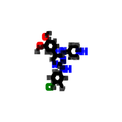 COc1ccc(-c2cnc(Nc3ccc(Cl)c(C)c3)nc2NC2CCNCC2)cc1OC